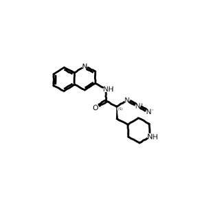 [N-]=[N+]=N[C@@H](CC1CCNCC1)C(=O)Nc1cnc2ccccc2c1